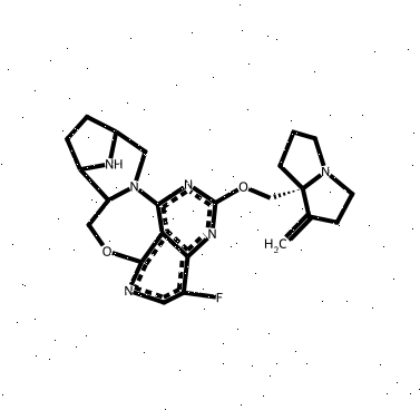 C=C1CCN2CCC[C@]12COc1nc2c3c(ncc(F)c3n1)OCC1C3CCC(CN21)N3